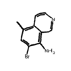 Cc1cc(Br)c(N)c2cnccc12